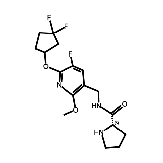 COc1nc(OC2CCC(F)(F)C2)c(F)cc1CNC(=O)[C@@H]1CCCN1